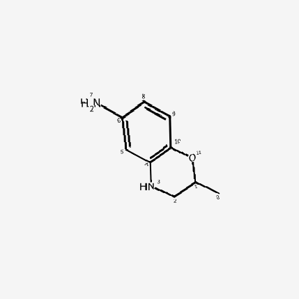 CC1CNc2cc(N)ccc2O1